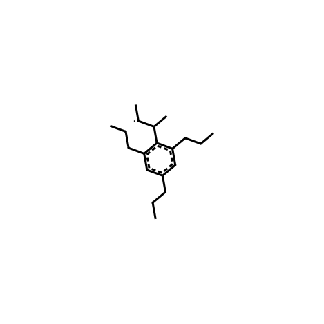 C[CH]C(C)c1c(CCC)cc(CCC)cc1CCC